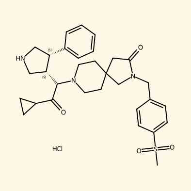 CS(=O)(=O)c1ccc(CN2CC3(CCN(C(C(=O)C4CC4)[C@@H]4CNC[C@@H]4c4ccccc4)CC3)CC2=O)cc1.Cl